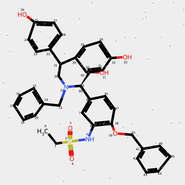 CCS(=O)(=O)Nc1cc([C@H](CO)N(Cc2ccccc2)CC(c2ccc(O)cc2)c2ccc(O)cc2)ccc1OCc1ccccc1